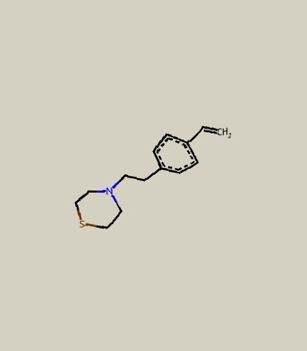 C=Cc1ccc(CCN2CCSCC2)cc1